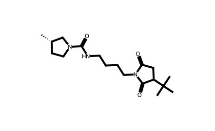 C[C@H]1CCN(C(=O)NCCCCN2C(=O)CC(C(C)(C)C)C2=O)C1